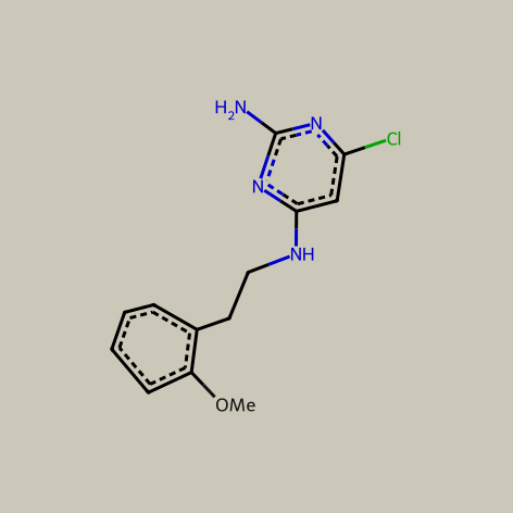 COc1ccccc1CCNc1cc(Cl)nc(N)n1